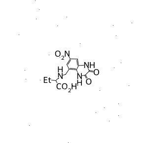 CCC(NCc1cc([N+](=O)[O-])cc2[nH]c(=O)c(=O)[nH]c12)C(=O)O